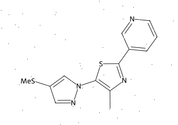 CSc1cnn(-c2sc(-c3cccnc3)nc2C)c1